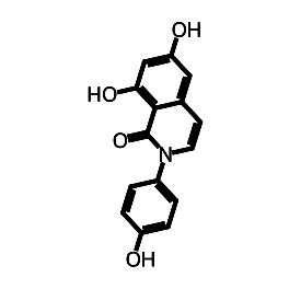 O=c1c2c(O)cc(O)cc2ccn1-c1ccc(O)cc1